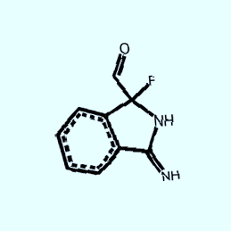 N=C1NC(F)(C=O)c2ccccc21